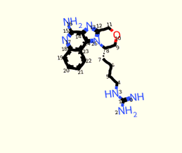 N=C(N)NCCCC[C@H]1COCc2nc3c(N)nc4ccccc4c3n21